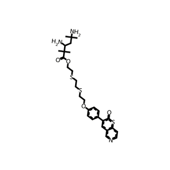 CC(C)(N)CC(N)C(C)(C)C(=O)OCCSCCSCCOc1ccc(-c2cc3cnccc3sc2=O)cc1